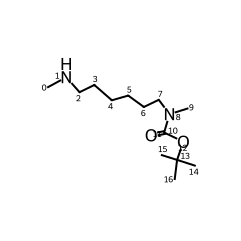 CNCCCCCCN(C)C(=O)OC(C)(C)C